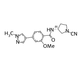 COc1cc(-c2cnn(C)c2)ccc1C(=O)N[C@@H]1CCN(C#N)C1